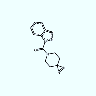 O=C(N1CCC2(CC1)N=N2)n1nnc2ccccc21